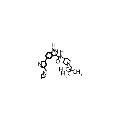 CC(C)(C)CN1CCC(NC(=O)c2n[nH]c3ccc(-c4cncc(CN5CCC5)c4)cc23)CC1